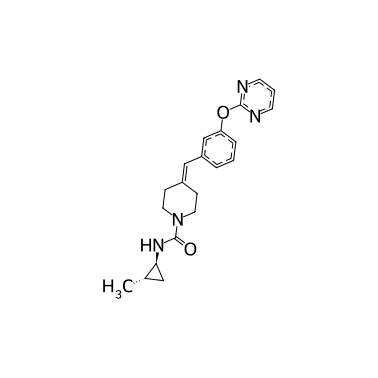 C[C@H]1C[C@@H]1NC(=O)N1CCC(=Cc2cccc(Oc3ncccn3)c2)CC1